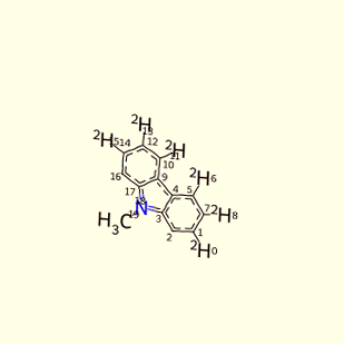 [2H]c1cc2c(c([2H])c1[2H])c1c([2H])c([2H])c([2H])cc1n2C